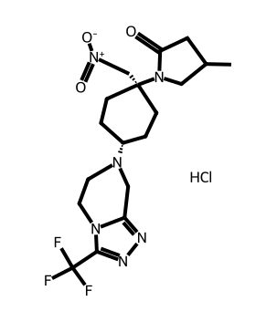 CC1CC(=O)N([C@]2(C[N+](=O)[O-])CC[C@@H](N3CCn4c(nnc4C(F)(F)F)C3)CC2)C1.Cl